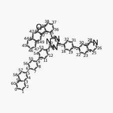 c1ccc2cc(-c3ccc(-c4ccc(-c5nc(-c6ccc(-c7ccc8ccncc8c7)cc6)nc(-c6cccc7oc8cc9ccccc9cc8c67)n5)cc4)cc3)ccc2c1